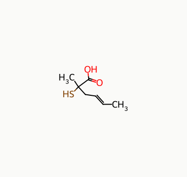 CC=CCC(C)(S)C(=O)O